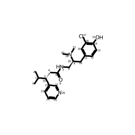 CC(C)[C@H](CC(=O)NC[C@H](Cc1ccc(O)c(Cl)c1)N(C)C)c1cccnc1